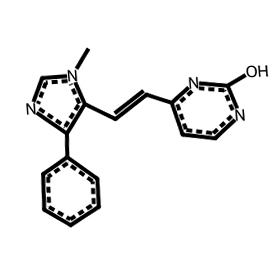 Cn1cnc(-c2ccccc2)c1C=Cc1ccnc(O)n1